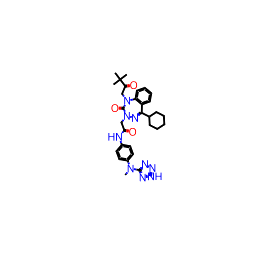 CN(c1ccc(NC(=O)CN2N=C(C3CCCCC3)c3ccccc3N(CC(=O)C(C)(C)C)C2=O)cc1)c1nn[nH]n1